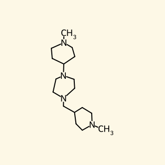 CN1CCC(CN2CCN(C3CCN(C)CC3)CC2)CC1